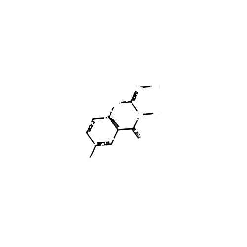 CCCN=c1oc2ccc(I)cc2c(=O)n1CCC